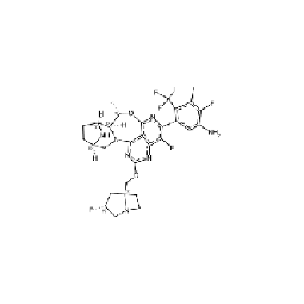 Cc1c(F)c(N)cc(-c2nc3c4c(nc(OC[C@@]56CCN5C[C@H](F)C6)nc4c2F)N2C[C@H]4CC[C@H](N4)[C@H]2[C@H](C)O3)c1C(F)(F)F